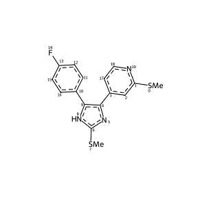 CSc1cc(-c2nc(SC)[nH]c2-c2ccc(F)cc2)ccn1